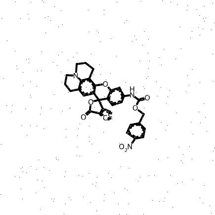 O=C(Nc1ccc2c(c1)Oc1c(cc3c4c1CCCN4CCC3)C21OC(=O)c2ccccc21)OCc1ccc([N+](=O)[O-])cc1